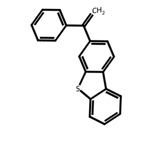 C=C(c1ccccc1)c1ccc2c(c1)sc1ccccc12